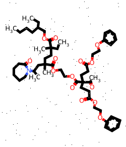 CCCCC(CC)COC(=O)C(C)(CC)CCC(C)(CC(C)N1CCCCCC1=O)C(=O)OCCOC(=O)C(CCC(=O)OCCOc1ccccc1)(CCC(=O)OCCOc1ccccc1)C(C)=O